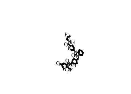 O=C(NCC(F)F)c1ccc(-n2c(=O)n(CC3CCC(NC(=O)c4cc(Cl)cnc4C(F)(F)F)CC3)c3ccccc32)cn1